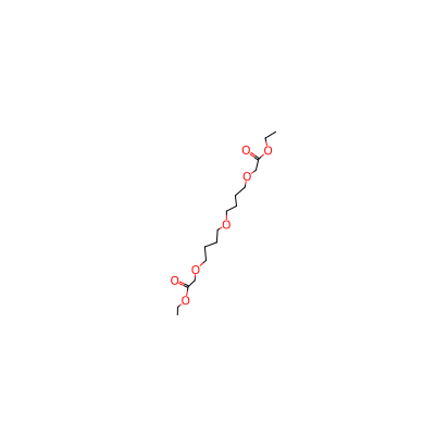 CCOC(=O)COCCCCOCCCCOCC(=O)OCC